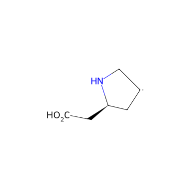 O=C(O)C[C@@H]1C[CH]CN1